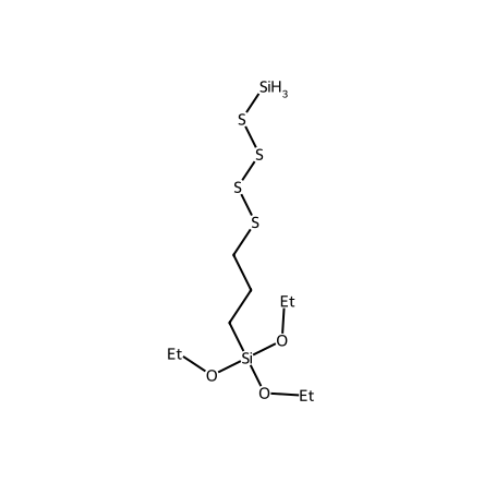 CCO[Si](CCCSSSS[SiH3])(OCC)OCC